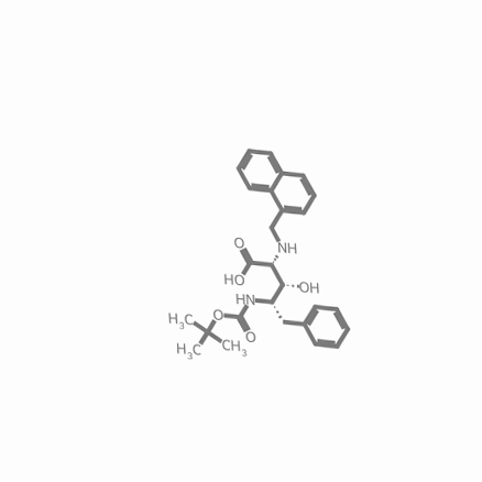 CC(C)(C)OC(=O)N[C@@H](Cc1ccccc1)[C@@H](O)[C@@H](NCc1cccc2ccccc12)C(=O)O